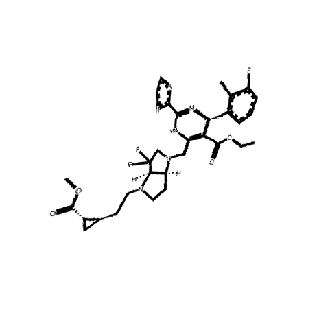 CCOC(=O)C1=C(CN2CC(F)(F)[C@H]3[C@@H]2CCN3CC[C@H]2C[C@@H]2C(=O)OC)NC(c2nccs2)=N[C@H]1c1cccc(F)c1C